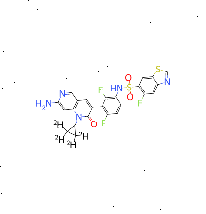 [2H]C1([2H])C(n2c(=O)c(-c3c(F)ccc(NS(=O)(=O)c4cc5scnc5cc4F)c3F)cc3cnc(N)cc32)C1([2H])[2H]